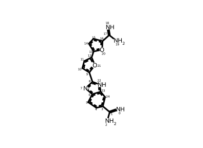 N=C(N)c1ccc2nc(-c3ccc(-c4ccc(C(=N)N)o4)o3)[nH]c2c1